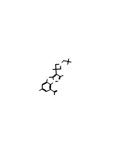 Cc1nn2c([nH]c3cc(F)cc(C(N)=O)c32)c1C1(C)CN(CC(C)(C)O)C1